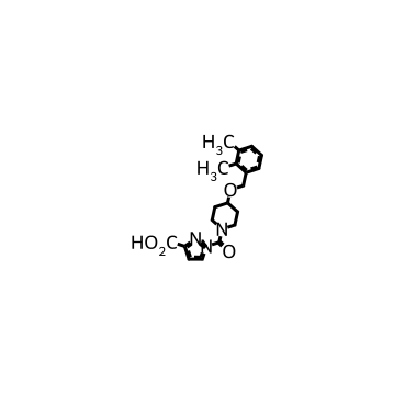 Cc1cccc(COC2CCN(C(=O)n3ccc(C(=O)O)n3)CC2)c1C